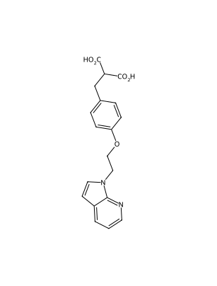 O=C(O)C(Cc1ccc(OCCn2ccc3cccnc32)cc1)C(=O)O